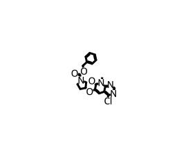 Cn1c(=O)c(OC2CCN(C(=O)OCc3ccccc3)C2)cc2c(Cl)ncnc21